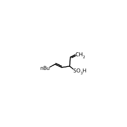 C=CC(C=CCCCC)S(=O)(=O)O